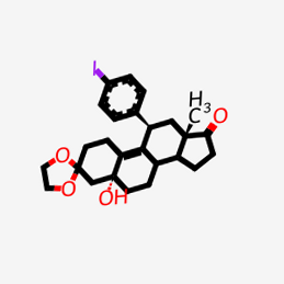 C[C@]12C[C@H](c3ccc(I)cc3)C3=C4CCC5(C[C@]4(O)CCC3C1CCC2=O)OCCO5